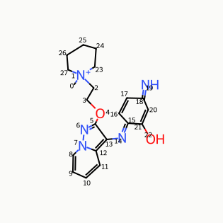 C[N+]1(CCOc2nn3ccccc3c2/N=C2\C=CC(=N)C=C2O)CCCCC1